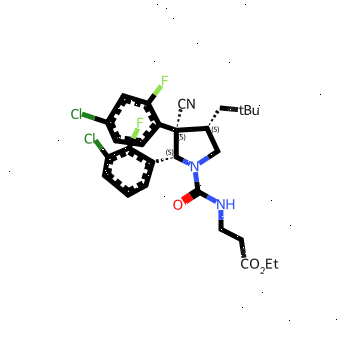 CCOC(=O)CCNC(=O)N1C[C@@H](CC(C)(C)C)[C@](C#N)(c2ccc(Cl)cc2F)[C@H]1c1cccc(Cl)c1F